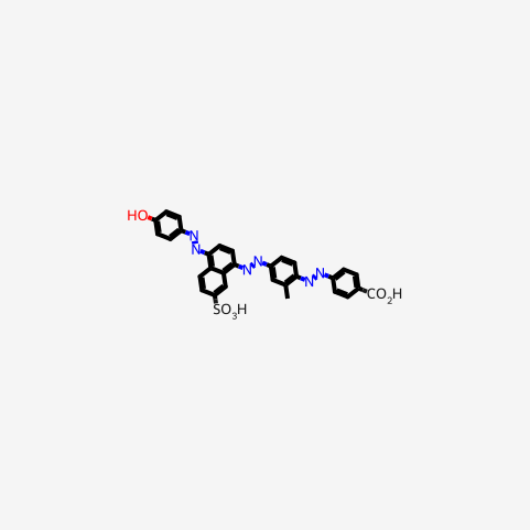 Cc1cc(N=Nc2ccc(N=Nc3ccc(O)cc3)c3ccc(S(=O)(=O)O)cc23)ccc1N=Nc1ccc(C(=O)O)cc1